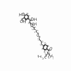 CCN(CC)C(=O)c1ccc(CCCCOCCCCCCNCC(O)c2ccc(O)c(CO)c2)cc1